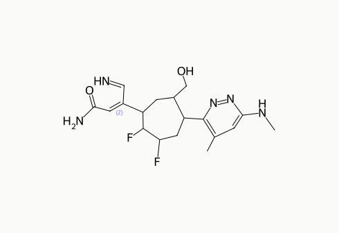 CNc1cc(C)c(C2CC(F)C(F)C(/C(C=N)=C/C(N)=O)CC2CO)nn1